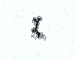 CC(C)(C)c1cc2c(cc1Cl)C=C(C(=O)OCOC(=O)OC(CO[N+](=O)[O-])CO[N+](=O)[O-])[C@@H](C(F)(F)F)O2